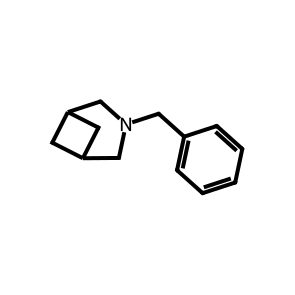 c1ccc(CN2CC3CC(C3)C2)cc1